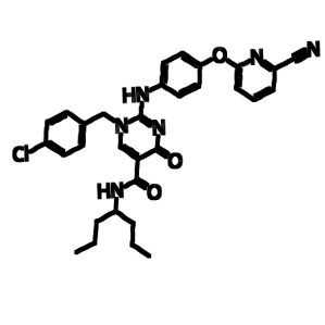 CCCC(CCC)NC(=O)c1cn(Cc2ccc(Cl)cc2)c(Nc2ccc(Oc3cccc(C#N)n3)cc2)nc1=O